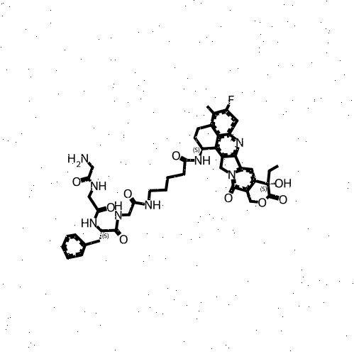 CC[C@@]1(O)C(=O)OCc2c1cc1n(c2=O)Cc2c-1nc1cc(F)c(C)c3c1c2[C@@H](NC(=O)CCCCNC(=O)CNC(=O)[C@H](Cc1ccccc1)NC(=O)CNC(=O)CN)CC3